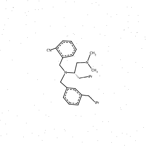 [C-]#[N+]c1ccccc1CN(Cc1cccc(CC(C)C)c1)[C@@H](CC(C)C)CN(C)C